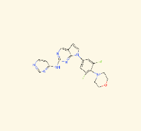 Fc1cc(-n2ccc3cnc(Nc4ccncn4)nc32)cc(F)c1N1CCOCC1